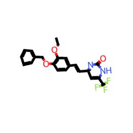 CCOc1cc(C=Cc2cc(C(F)(F)F)[nH]c(=O)n2)ccc1OCc1ccccc1